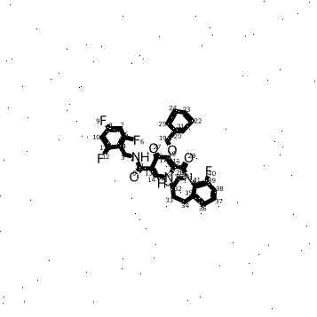 O=C(NCc1c(F)cc(F)cc1F)c1cn2c(c(OCc3ccccc3)c1=O)C(=O)N1C[C@H]2CCc2cccc(F)c21